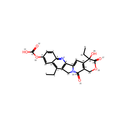 CCc1c2c(nc3ccc(OC(=O)O)cc13)-c1cc3c(c(=O)n1C2)COC(=O)C3(O)CC